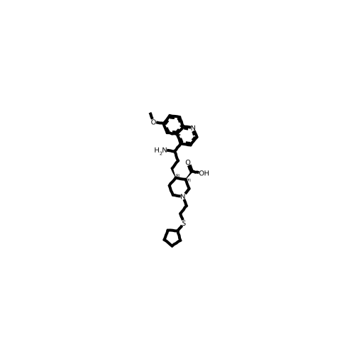 COc1ccc2nccc(C(N)CC[C@@H]3CCN(CCSC4CCCC4)C[C@@H]3C(=O)O)c2c1